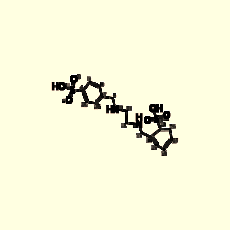 O=S(=O)(O)c1ccc(CNCCNCc2ccccc2S(=O)(=O)O)cc1